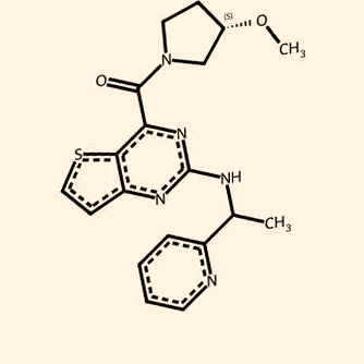 CO[C@H]1CCN(C(=O)c2nc(NC(C)c3ccccn3)nc3ccsc23)C1